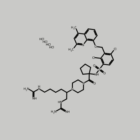 Cc1cc(C)c2cccc(OCc3c(Cl)ccc(S(=O)(=O)NC4(C(=O)N5CCN(C(CCCCNC(=N)N)CNC(=N)N)CC5)CCCC4)c3Cl)c2n1.Cl.Cl.Cl.Cl